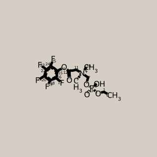 CCOP(=O)(O)OC[N+](C)(C)CC(=O)Oc1c(F)c(F)c(F)c(F)c1F